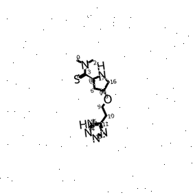 CN(C)C(=S)[C@@H]1C[C@@H](OCCc2nnn[nH]2)CN1